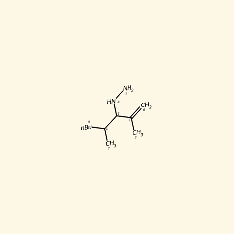 C=C(C)C(NN)C(C)CCCC